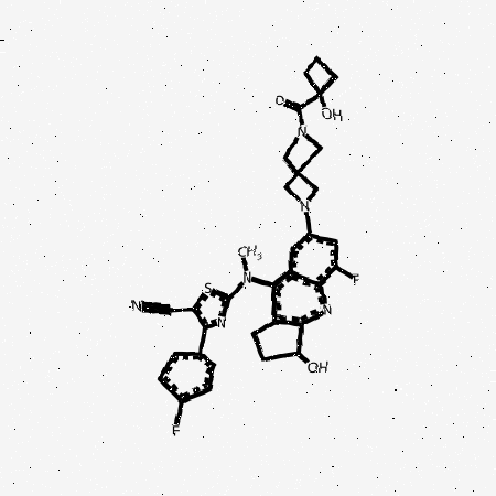 CN(c1nc(-c2ccc(F)cc2)c(C#N)s1)c1c2c(nc3c(F)cc(N4CC5(CN(C(=O)C6(O)CCC6)C5)C4)cc13)C(O)CC2